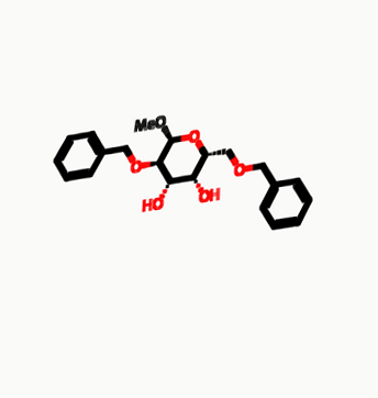 CO[C@H]1O[C@H](COCc2ccccc2)[C@H](O)[C@H](O)[C@H]1OCc1ccccc1